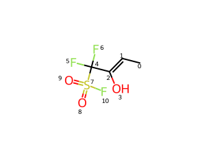 CC=C(O)C(F)(F)S(=O)(=O)F